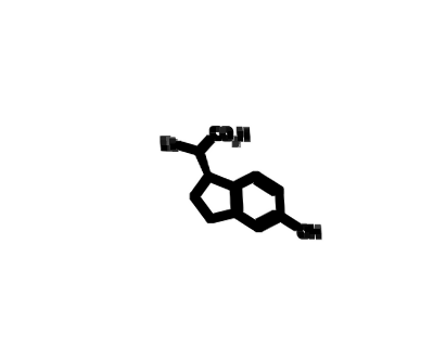 CCC(C(=O)O)[C@@H]1CCc2cc(O)ccc21